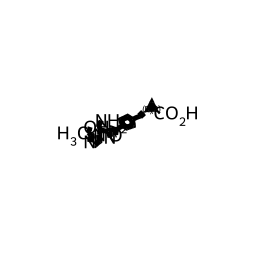 CC(O)c1nccn1C(CN)c1cc(-c2ccc(C#C[C@@H]3C[C@H]3C(=O)O)cc2)on1